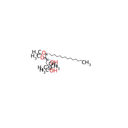 CCCCCCCCCCCCCC[C@H]1OC(C)(C)O[C@H]1[C@H](CO)CC(C)(C)[Si](C)(C)O